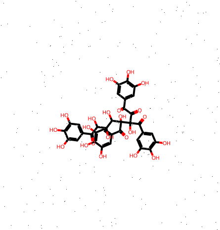 O=C(C(=O)C(O)(C(=O)c1cc(O)c(O)c(O)c1)C(O)(C(=O)c1cc(O)c(O)c(O)c1)C(O)C(O)C(O)C(=O)c1cc(O)c(O)c(O)c1)c1cc(O)c(O)c(O)c1